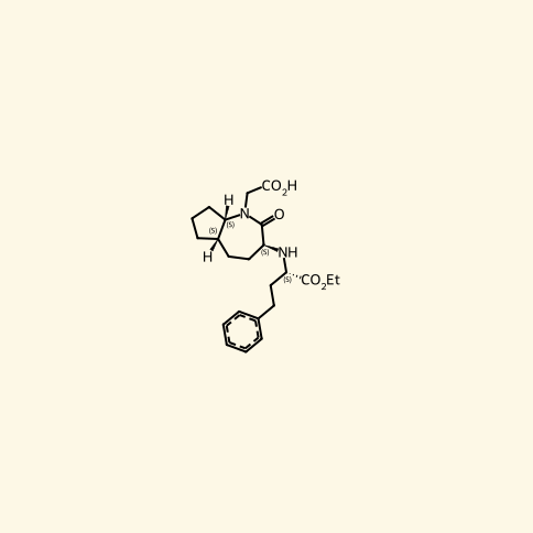 CCOC(=O)[C@H](CCc1ccccc1)N[C@H]1CC[C@@H]2CCC[C@@H]2N(CC(=O)O)C1=O